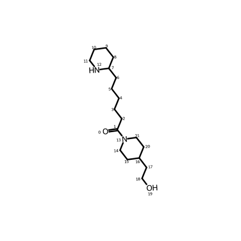 O=C(CCCCCC1CCCCN1)N1CCC(CCO)CC1